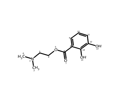 CN(C)CCOC(=O)c1cccc(O)c1O